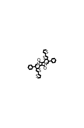 O=C1C2=C3c4sc(-c5cccs5)cc4C(c4ccccc4)=CN3C(=O)C2=C2c3sc(-c4cccs4)cc3C(c3ccccc3)=CN12